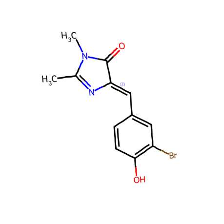 CC1=N/C(=C\c2ccc(O)c(Br)c2)C(=O)N1C